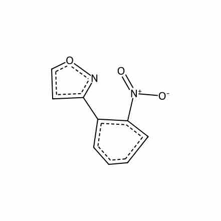 O=[N+]([O-])c1ccccc1-c1ccon1